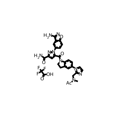 CC(=O)N(C)Cc1nccn1-c1ccc2c(c1)CCN2C(=O)c1cc(C(N)=O)nn1-c1ccc2onc(N)c2c1.O=C(O)C(F)(F)F